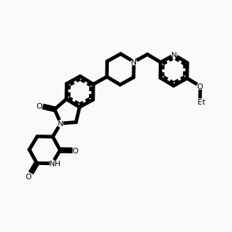 CCOc1ccc(CN2CCC(c3ccc4c(c3)CN(C3CCC(=O)NC3=O)C4=O)CC2)nc1